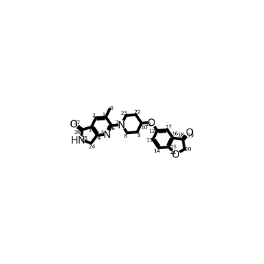 Cc1cc2c(nc1N1CCC(Oc3ccc4c(c3)C(=O)CO4)CC1)CNC2=O